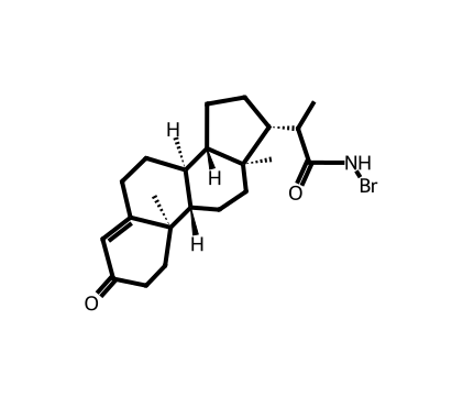 CC(C(=O)NBr)[C@H]1CC[C@H]2[C@@H]3CCC4=CC(=O)CC[C@]4(C)[C@H]3CC[C@]12C